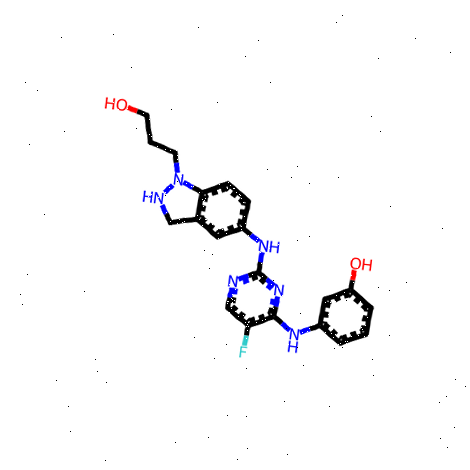 OCCCN1NCc2cc(Nc3ncc(F)c(Nc4cccc(O)c4)n3)ccc21